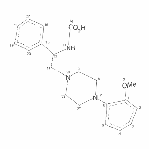 COc1ccccc1N1CCN(CC(NC(=O)O)c2ccccc2)CC1